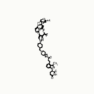 Cc1nn(C2CCC(=O)NC2=O)c2cccc(CCC(=O)N3CC4(CCN(CC5CCC(n6cc(N7CC=C8N=C(N9C[C@H]%10C[C@@H]9CO%10)C=CN87)c(C(F)F)n6)CC5)CC4)C3)c12